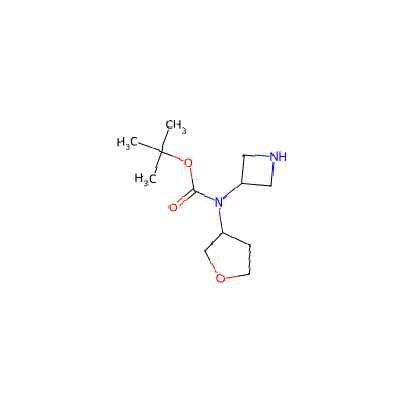 CC(C)(C)OC(=O)N(C1CNC1)C1CCOC1